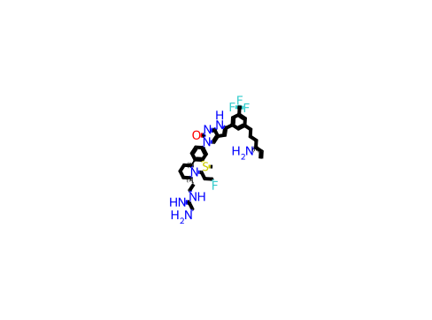 C=C[C@H](N)CCCc1cc(-c2cc3cn(-c4ccc([C@@H]5CCC[C@@H](CCNC(=N)CN)N5CCCF)c(SC)c4)c(=O)nc3[nH]2)cc(C(F)(F)F)c1